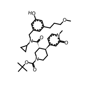 COCCCc1cc(O)cc(CN(C(=O)[C@H]2CN(C(=O)OC(C)(C)C)CC[C@@H]2c2ccn(C)c(=O)c2)C2CC2)c1